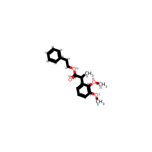 COc1cccc(C(C)C(=O)OCCc2ccccc2)c1OC